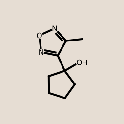 Cc1nonc1C1(O)CCCC1